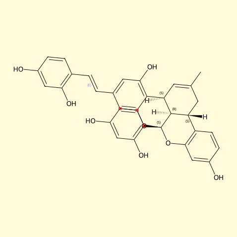 CC1=C[C@@H]2c3c(O)cc(/C=C/c4ccc(O)cc4O)cc3O[C@@]3(c4ccc(O)cc4O)Oc4cc(O)ccc4[C@@H](C1)[C@H]23